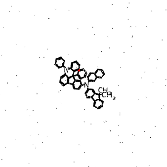 CC1(C)c2ccccc2-c2ccc(N(c3ccc4c(c3)C3(c5ccccc5)c5ccccc5N(c5ccccc5)c5cccc-4c53)c3ccc4ccccc4c3)cc21